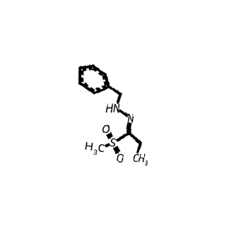 CCC(=NNCc1ccccc1)S(C)(=O)=O